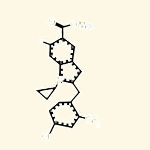 COC(=O)c1cc2cc(Cc3ccc(Cl)cc3C(F)(F)F)n(C3CC3)c2cc1F